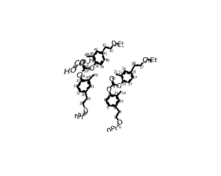 CCCOCCc1ccc(OC(=O)Oc2ccc(CCOCC)cc2C)c(C)c1.CCCOCCc1ccc(OC(=O)Oc2ccc(CCOCC)cc2C)c(C)c1.O=C(O)O